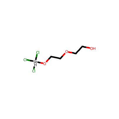 OCCOCC[O][SbH]([Cl])([Cl])[Cl]